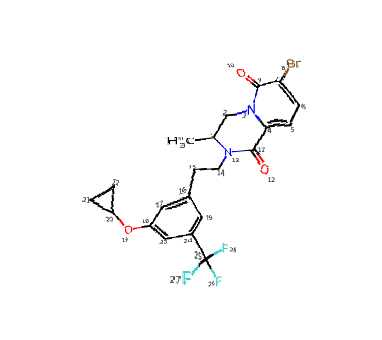 CC1Cn2c(ccc(Br)c2=O)C(=O)N1CCc1cc(OC2CC2)cc(C(F)(F)F)c1